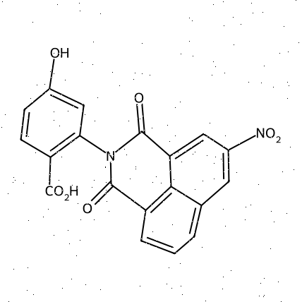 O=C(O)c1ccc(O)cc1N1C(=O)c2cccc3cc([N+](=O)[O-])cc(c23)C1=O